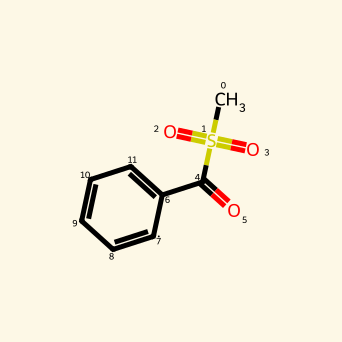 CS(=O)(=O)C(=O)c1[c]cccc1